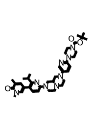 Cc1cc(-c2ccc(N3CCN4CCN(c5ccc(N6CCN(C(=O)OC(C)(C)C)CC6)nc5)CC4C3)nc2C(C)C)cn(C)c1=O